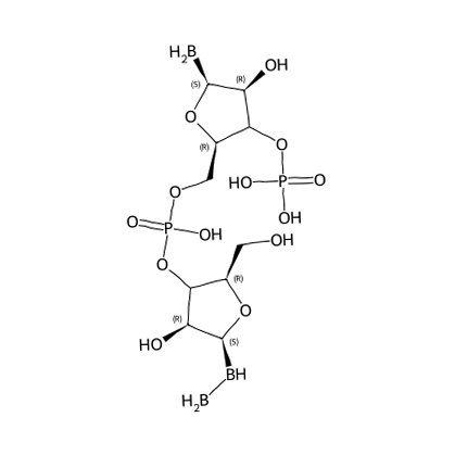 BB[C@@H]1O[C@H](CO)C(OP(=O)(O)OC[C@H]2O[C@@H](B)[C@@H](O)C2OP(=O)(O)O)[C@@H]1O